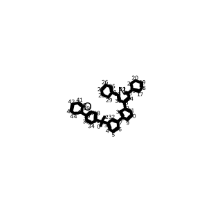 CC(C)(c1cccc(-c2cccc(-c3cc(C4=CC=CCC4)nc(C4=CC=CCC4)c3)c2)c1)c1ccc2c(c1)OC1=CC=CCC12